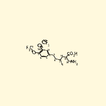 CC(CCc1ccc(OC(F)(F)F)c(OC(F)(F)F)c1)CC(CN)C(=O)O